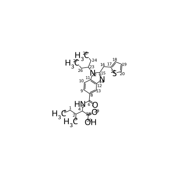 CCC(C)C(NC(=O)c1ccc2c(c1)nc(Cc1cccs1)n2C(CC)CC)C(=O)O